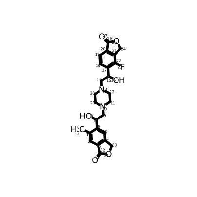 Cc1cc2c(cc1C(O)CN1CCN(CC(O)c3ccc4c(c3F)COC4=O)CC1)COC2=O